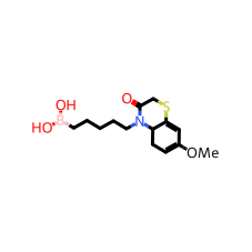 COC1=CCC2C(=C1)SCC(=O)N2CCCCCB(O)O